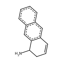 NC1CC=Cc2cc3ccccc3cc21